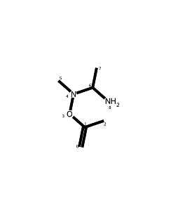 C=C(C)ON(C)C(C)N